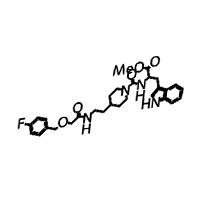 COC(=O)C(Cc1c[nH]c2ccccc12)NC(=O)N1CCC(CCNC(=O)COCc2ccc(F)cc2)CC1